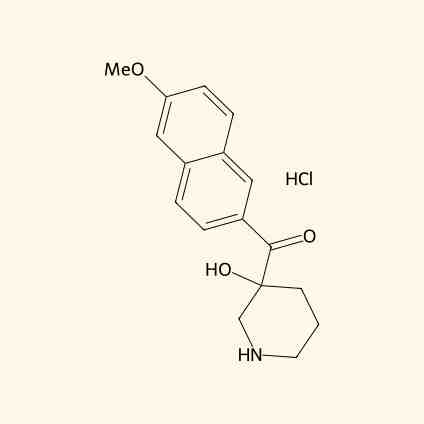 COc1ccc2cc(C(=O)C3(O)CCCNC3)ccc2c1.Cl